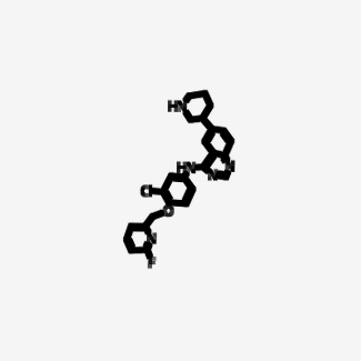 Fc1cccc(COc2ccc(Nc3ncnc4ccc(C5CCCNC5)cc34)cc2Cl)n1